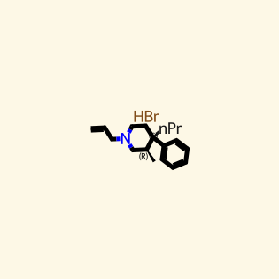 Br.C=CCN1CC[C@](CCC)(c2ccccc2)[C@@H](C)C1